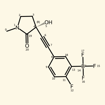 CN1CC[C@@](O)(C#Cc2ccc(F)c([B-](F)(F)F)c2)C1=O